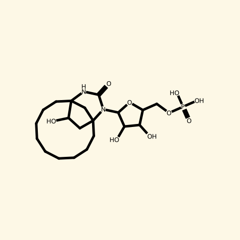 O=C1NC23CCCCCCCCCC(CC2O)(C3)N1C1OC(COP(=O)(O)O)C(O)C1O